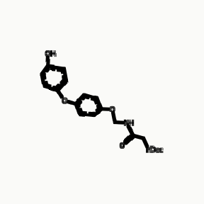 CCCCCCCCCCCC(=O)NCOc1ccc(Oc2ccc(O)cc2)cc1